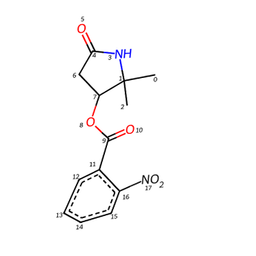 CC1(C)NC(=O)CC1OC(=O)c1ccccc1[N+](=O)[O-]